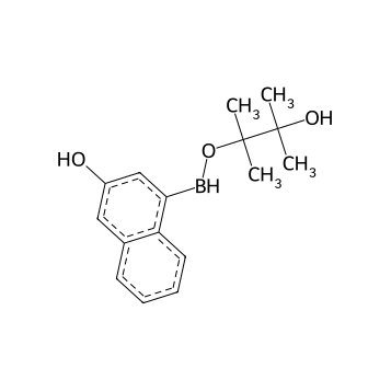 CC(C)(O)C(C)(C)OBc1cc(O)cc2ccccc12